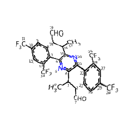 CC(CC=O)c1nc(-c2ccc(C(F)(F)F)cc2C(F)(F)F)c(C(C)CC=O)nc1-c1ccc(C(F)(F)F)cc1C(F)(F)F